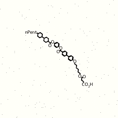 CCCCCC1CCC(C2CCC(C(=O)Oc3ccc(OC(=O)c4ccc(-c5ccc(OCCCCCCOC(=O)CCC(=O)O)cc5)cc4)cc3)CC2)CC1